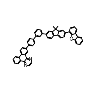 CC1(C)c2cc(-c3cccc(-c4ccc(-c5ccc6c7ccccc7c7nccnc7c6c5)cc4)c3)ccc2-c2ccc(-c3cccc4c3oc3ccccc34)cc21